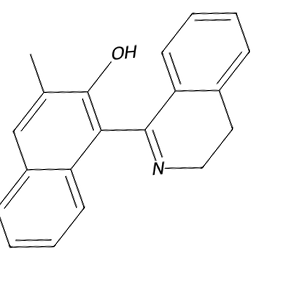 Cc1cc2ccccc2c(C2=NCCc3ccccc32)c1O